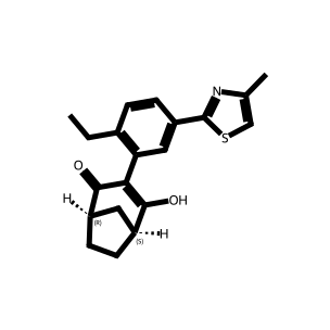 CCc1ccc(-c2nc(C)cs2)cc1C1=C(O)[C@H]2CC[C@H](C2)C1=O